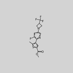 COC(=O)c1cc(-c2ncc(N3CC(C(F)(F)F)C3)cc2F)c(C)s1